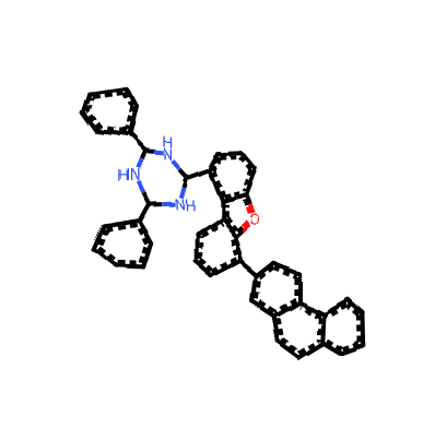 c1ccc(C2NC(c3ccccc3)NC(c3cccc4oc5c(-c6ccc7c(ccc8ccccc87)c6)cccc5c34)N2)cc1